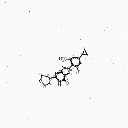 Cc1cc(C2CC2)cc(F)c1-n1cc2c(=O)[nH]c(N3CCOCC3)nc2n1